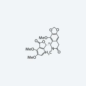 COc1ccc2c(c1OC)C(=O)OC2[C@@H]1c2c(cc3c(c2OC)OCO3)CC(=O)N1C